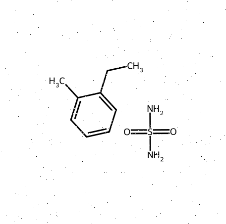 CCc1ccccc1C.NS(N)(=O)=O